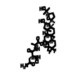 C[C@H](NC(=O)[C@@H](CC(N)=O)NCl)C(=O)O[C@H]1C[C@@H]2[C@]3(CC[C@]4(C)[C@@H]([C@]5(C)CC[C@@H](C(C)(C)O)O5)[C@@H](O)C[C@@]24C)C[C@@]32CCC(F)(F)C(C)(C)[C@H]12